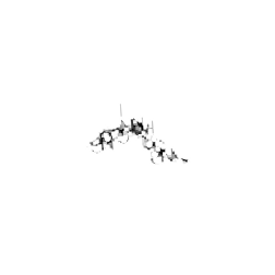 C#CC1CN(C(=O)OC2CCC(c3cc(NC(=O)Cc4ccc(OC)nc4)n[nH]3)C2)C1